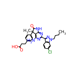 CCCCn1nc(-c2nc(N)c3c(n2)NC(=O)[C@]3(C)c2ccc(CCC(=O)O)cc2)c2ccc(Cl)cc21